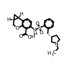 CCN1CC[C@@H](Cc2ccccc2S(=O)(=O)Nc2ccc3c(c2C(=O)O)OC[C@@H]2C[C@H]32)C1